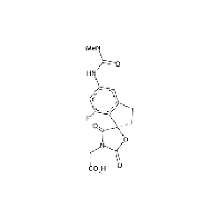 CNC(=O)Nc1cc(F)c2c(c1)CC[C@@]21OC(=O)N(CC(=O)O)C1=O